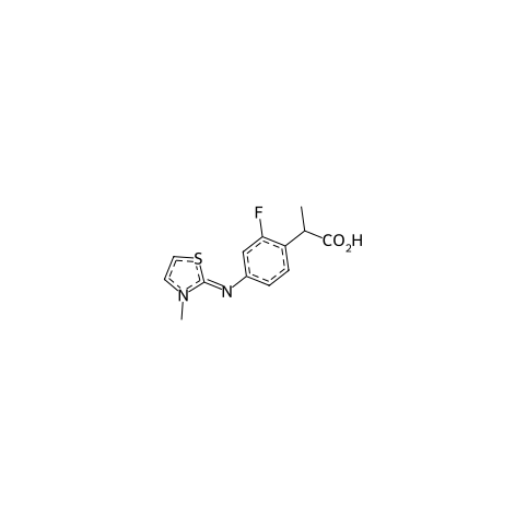 CC(C(=O)O)c1ccc(/N=c2\sccn2C)cc1F